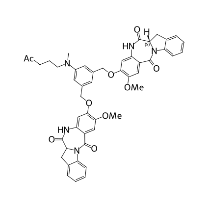 COc1cc2c(cc1OCc1cc(COc3cc4c(cc3OC)C(=O)N3c5ccccc5C[C@H]3C(=O)N4)cc(N(C)CCCC(C)=O)c1)NC(=O)C1Cc3ccccc3N1C2=O